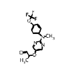 CC(C=O)Oc1cnc(N(C)c2ccc(OC(F)(F)F)cc2)nc1